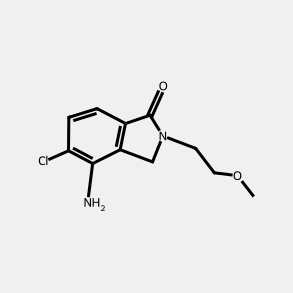 COCCN1Cc2c(ccc(Cl)c2N)C1=O